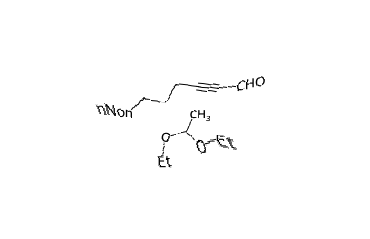 CCCCCCCCCCCCC#CC=O.CCOC(C)OCC